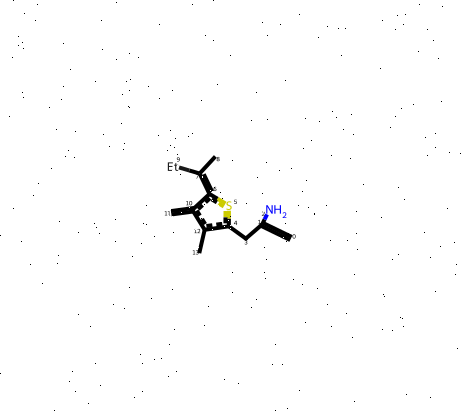 C=C(N)Cc1s/c(=C(\C)CC)c(=C)c1C